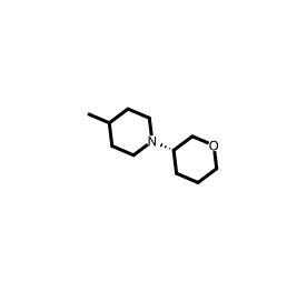 CC1CCN([C@H]2CCCOC2)CC1